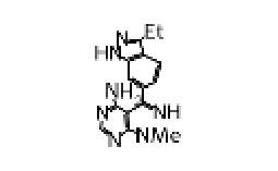 CCc1n[nH]c2cc(C(=N)c3c(N)ncnc3NC)ccc12